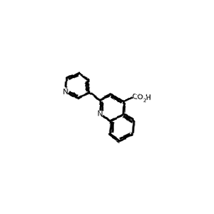 O=C(O)c1cc(-c2cccnc2)nc2ccccc12